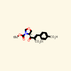 CCOC(=O)/C(=C\c1ccc(C(=O)O)cc1)C(=O)[C@@H]1COCN1C(=O)OC(C)(C)C